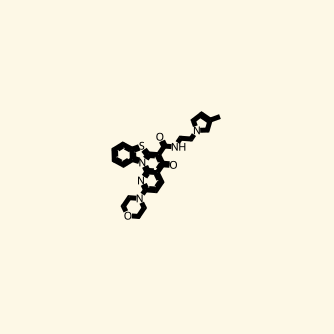 CC1=CCN(CCNC(=O)c2c(=O)c3ccc(N4CCOCC4)nc3n3c2sc2ccccc23)C1